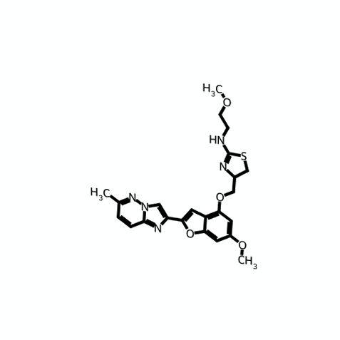 COCCNC1=NC(COc2cc(OC)cc3oc(-c4cn5nc(C)ccc5n4)cc23)CS1